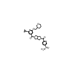 N[S+]([O-])c1ccc(C(=O)N2CC3CN(C(=O)c4cc(OCC5CCCOC5)nc(C5CC5)c4)CC3C2)nc1